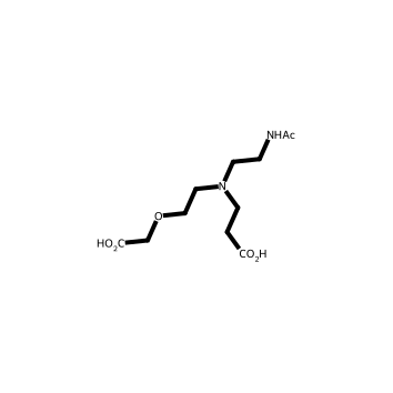 CC(=O)NCCN(CCOCC(=O)O)CCC(=O)O